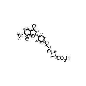 O=C(O)C1CC(OCCOc2ccc(-c3cc(=O)c4ccc(C5CC5)c(Cl)c4o3)cc2)C1